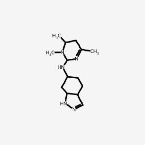 CC1=NC(NC2CCC3C=NNC3C2)N(C)C(C)C1